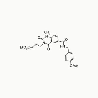 CCOC(=O)C=CCn1c(=O)c2cc(C(=O)NCc3ccc(OC)cc3)ccc2n(C)c1=O